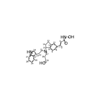 CC(=CC(=O)NO)c1ccc2c(c1)CCC2N(CCCO)CCc1c[nH]c2ccccc12